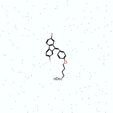 CCCCCCCCCCCCCCOc1ccc(C=C2c3cc(I)ccc3-c3ccc(I)cc32)cc1